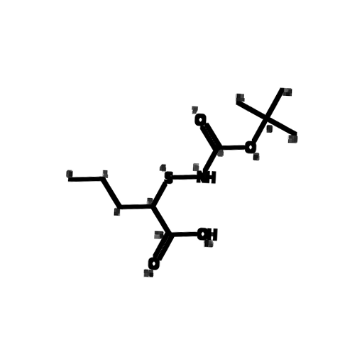 CCCC(SNC(=O)OC(C)(C)C)C(=O)O